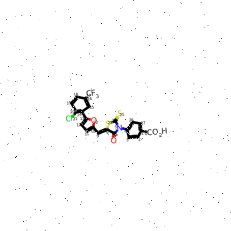 O=C(O)c1ccc(N2C(=O)C(=Cc3ccc(-c4cc(C(F)(F)F)ccc4Cl)o3)SC2=S)cc1